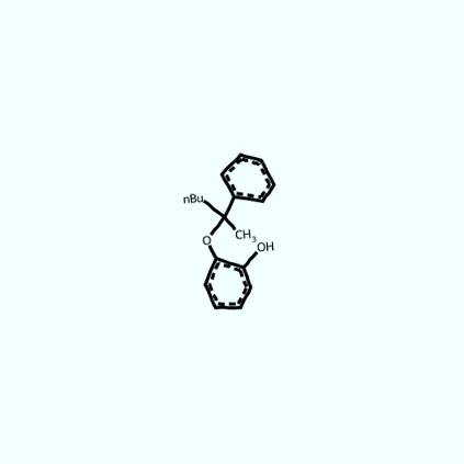 CCCCC(C)(Oc1ccccc1O)c1ccccc1